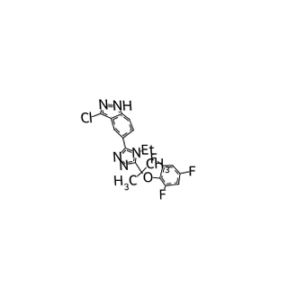 CCn1c(-c2ccc3[nH]nc(Cl)c3c2)nnc1C(C)(C)Oc1c(F)cc(F)cc1F